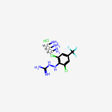 CN.CN.CN.Cl.N=C(N)NNc1c(Cl)cc(C(F)(F)F)cc1Cl